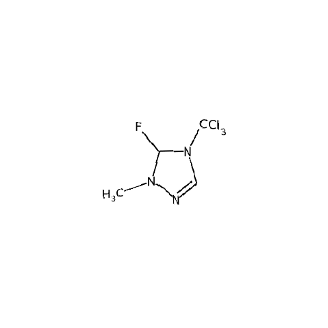 CN1N=CN(C(Cl)(Cl)Cl)C1F